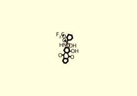 O=C1c2ccccc2C(=O)c2c1cc(NS(=O)(=O)c1ccccc1OC(F)(F)F)c(O)c2O